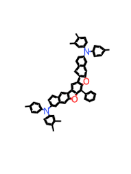 Cc1ccc(N(c2ccc(C)c(C)c2)c2ccc3cc4c(cc3c2)oc2c(-c3ccccc3)c3oc5cc6cc(N(c7ccc(C)cc7)c7ccc(C)c(C)c7)ccc6cc5c3cc24)cc1